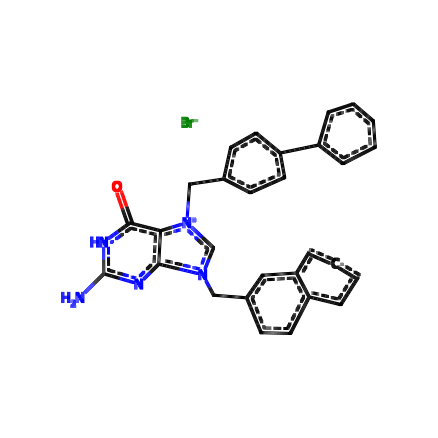 Nc1nc2c(c(=O)[nH]1)[n+](Cc1ccc(-c3ccccc3)cc1)cn2Cc1ccc2ccccc2c1.[Br-]